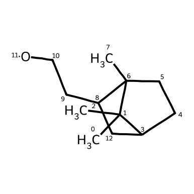 CC1(C)C2CCC1(C)C(CC[O])C2